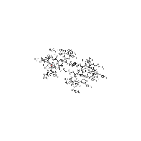 CCCCN(c1nc(N(CCCCCCN(c2nc(N(CCCC)C3CC(C)(C)N(OCCC)C(C)(C)C3)nc(N(CCCC)C3CC(C)(C)N(OCCC)C4(C)CC34)n2)C2CC(C)(C)N(OCCC)C(C)(C)C2)C2CC(C)(C)N(OCCC)C(C)(C)C2)nc(N(CCCC)C2CC(C)(C)N(C)C(C)(OC)C2)n1)C1CC(C)(C)N(OCCC)C(C)(C)C1